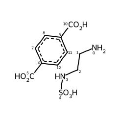 NCCNS(=O)(=O)O.O=C(O)c1ccc(C(=O)O)cc1